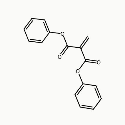 C=C(C(=O)Oc1ccccc1)C(=O)Oc1ccccc1